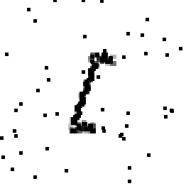 CC(=O)OCCCC=CCCCCCOC(C)=O